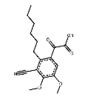 CCCCCCc1c(C(=O)C(=O)O)cc(OC)c(OC)c1C#N